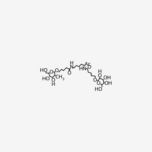 CC(=O)C(CCCCNC(=O)CCCCOC1OC(CO)C(O)C(O)C1C)NC(=O)CCCCOC1OC(CO)C(O)C(O)C1O